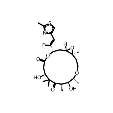 Cc1nc(C=C(F)[C@@H]2C[C@@H]3O[C@@]3(C)CCO[C@H](C)[C@@H](O)[C@@H](C)C(=O)C(C)(C)[C@@H](O)CC(=O)O2)cs1